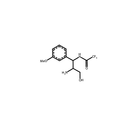 COc1cccc(C(NC(=O)C(F)(F)F)C(N)CO)c1